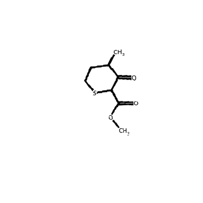 COC(=O)C1SCCC(C)C1=O